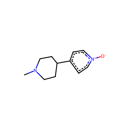 CN1CCC(c2cc[n+]([O-])cc2)CC1